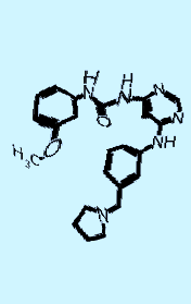 COc1cccc(NC(=O)Nc2cc(Nc3cccc(CN4CCCC4)c3)ncn2)c1